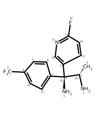 C[C@H](N)[C@](N)(c1ccc(C(F)(F)F)cc1)c1ccc(F)nc1